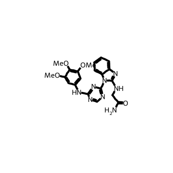 COc1cc(Nc2ncnc(-n3c(NCC(N)=O)nc4ccccc43)n2)cc(OC)c1OC